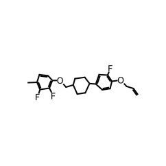 C=CCOc1ccc(C2CCC(COc3ccc(C)c(F)c3F)CC2)cc1F